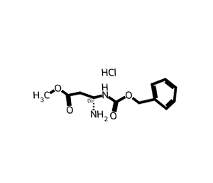 COC(=O)C[C@@H](N)NC(=O)OCc1ccccc1.Cl